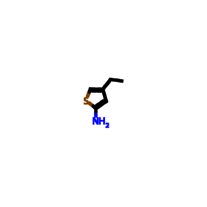 CCc1csc(N)c1